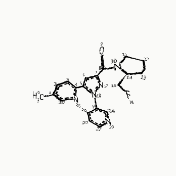 Cc1ccc(-c2cc(C(=O)N3CCC[C@H]3CF)nn2-c2cccnc2)nc1